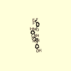 Cc1ccc(NC(=O)c2cccc(C(F)(F)F)c2)cc1Nc1ncnc2c1cnn2-c1ccc(O)cc1